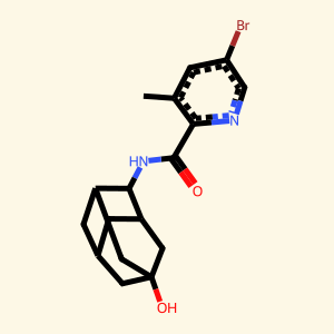 Cc1cc(Br)cnc1C(=O)NC1C2CC3CC1CC(O)(C3)C2